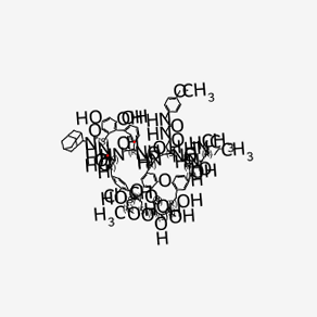 CN[C@H](CC(C)C)C(=O)N[C@H]1C(=O)N[C@@H](CC(=O)NC(=O)Nc2ccc(OC)cc2)C(=O)N[C@H]2C(=O)N[C@H]3C(=O)N[C@H](C(=O)N[C@H](C(=O)NC4C5CC6CC(C5)CC4C6)c4cc(O)cc(O)c4-c4cc3ccc4O)[C@H](O)c3ccc(c(Cl)c3)Oc3cc2cc2c3O[C@@H]3O[C@H](C(O)c4cc(ccc4O2)[C@H]1O)[C@@H](O)[C@H](O)[C@H]3O[C@H]1C[C@@H](C)[C@H](O)[C@H](C)O1